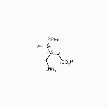 CCC[C@@H](C)[C@@H](C)[C@H](CN)CC(=O)O